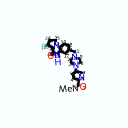 CNC(=O)c1ccc(N2CCN(Cc3ccc4c(c3)[nH]c(=O)c3c(F)ccn34)CC2)cn1